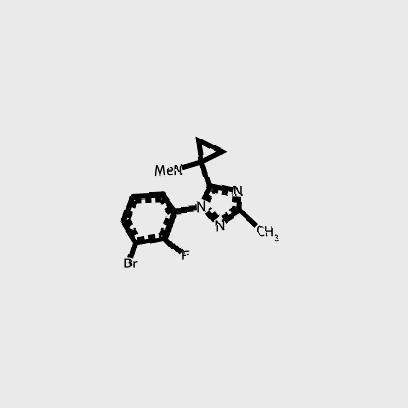 CNC1(c2nc(C)nn2-c2cccc(Br)c2F)CC1